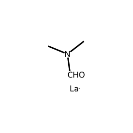 CN(C)C=O.[La]